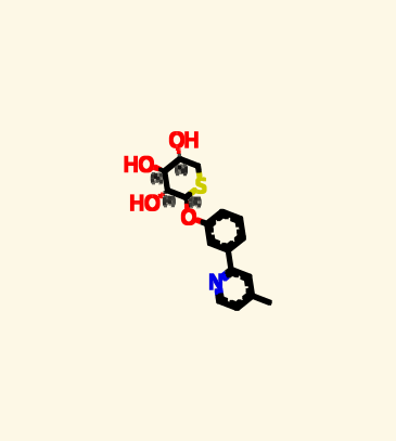 Cc1ccnc(-c2cccc(O[C@@H]3SC[C@@H](O)[C@H](O)[C@H]3O)c2)c1